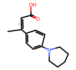 C/C(=C/C(=O)O)c1ccc(N2CCCCC2)cc1